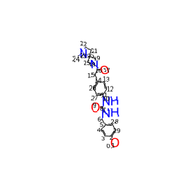 COc1ccc(CNC(=O)Nc2ccc(CC(=O)N3CC4(CCN4C)C3)cc2)cc1